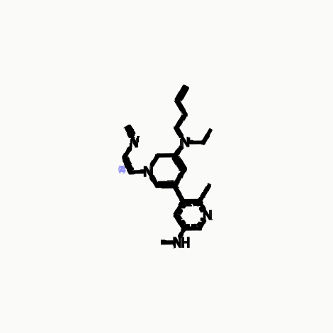 C=CCCN(CC)C1=CC(c2cc(NC)cnc2C)=CN(/C=C\N=C)C1